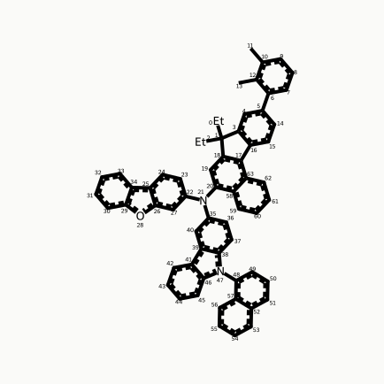 CCC1(CC)c2cc(-c3cccc(C)c3C)ccc2-c2c1cc(N(c1ccc3c(c1)oc1ccccc13)c1ccc3c(c1)c1ccccc1n3-c1cccc3ccccc13)c1ccccc21